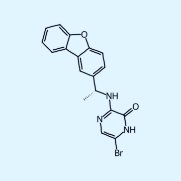 C[C@@H](Nc1ncc(Br)[nH]c1=O)c1ccc2oc3ccccc3c2c1